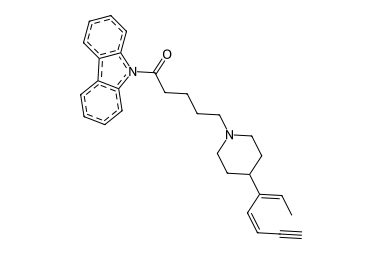 C#C/C=C\C(=C/C)C1CCN(CCCCC(=O)n2c3ccccc3c3ccccc32)CC1